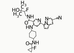 CC(C)(O)C(F)CNC(=O)c1cnc(-c2ccc3cc(C#N)cnn23)cc1NC1CCC(NC(=O)C2(F)CC2)CC1